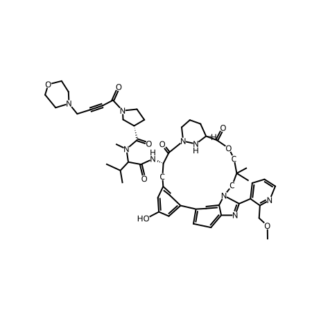 COCc1ncccc1-c1nc2ccc3cc2n1CC(C)(C)COC(=O)[C@@H]1CCCN(N1)C(=O)[C@@H](NC(=O)C(C(C)C)N(C)C(=O)[C@H]1CCN(C(=O)C#CCN2CCOCC2)C1)Cc1cc(O)cc-3c1